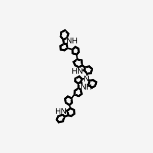 c1ccc(N(c2cccc3c2[nH]c2ccc(-c4cccc(-c5cccc6c5[nH]c5ccccc56)c4)cc23)c2cccc3c2[nH]c2ccc(-c4cccc(-c5cccc6c5[nH]c5ccccc56)c4)cc23)cc1